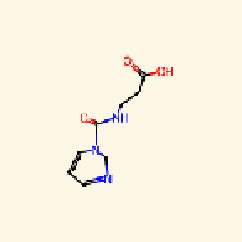 O=C(O)CCNC(=O)N1[CH]N=CC=C1